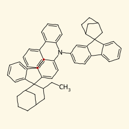 CCC1CC2CCCC(C2)C12c1ccccc1-c1cc(N(c3ccc4c(c3)C3(CC5CCC3C5)c3ccccc3-4)c3ccccc3-c3ccccc3)ccc12